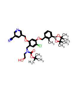 Cc1c(COc2cc(OCc3cncc(C#N)c3)c(CN(CCO)C(=O)OC(C)(C)C)cc2Cl)cccc1B1OC(C)(C)C(C)(C)O1